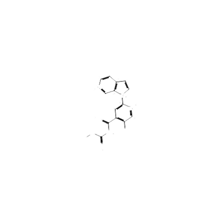 CC(C)OC(=O)OC(=O)c1cc(-n2ccc3ccncc32)ncc1Br